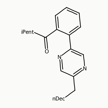 CCCCCCCCCCCc1cnc(-c2ccccc2C(=O)C(C)CCC)cn1